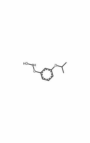 CC(C)Oc1cccc(OBO)c1